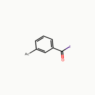 CC(=O)c1cccc(C(=O)I)c1